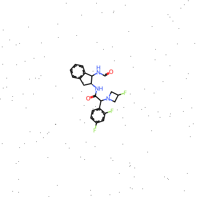 O=CNC1c2ccccc2C[C@@H]1NC(=O)C(c1ccc(F)cc1F)N1CC(F)C1